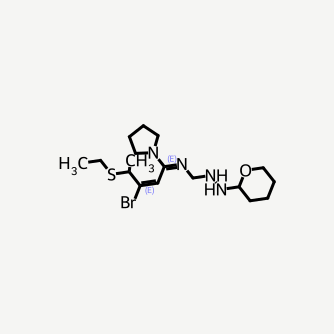 CCSC(C)/C(Br)=C\C(=N/CNNC1CCCCO1)N1CCCC1